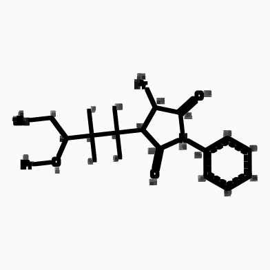 CC(C)OC(CC(C)(C)C)C(C)(C)C(C)(C)C1C(=O)N(c2ccccc2)C(=O)C1C(C)C